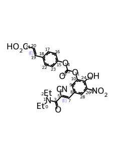 CCN(CC)C(=O)/C(C#N)=C/c1cc(OC(=O)Oc2ccc(/C=C/C(=O)O)cc2)c(O)c([N+](=O)[O-])c1